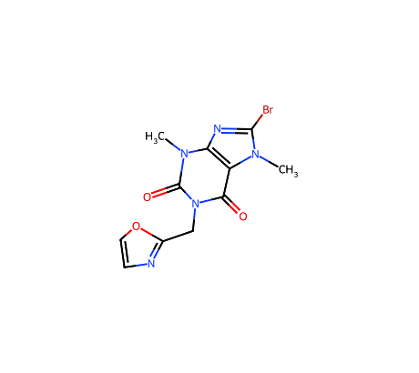 Cn1c(Br)nc2c1c(=O)n(Cc1ncco1)c(=O)n2C